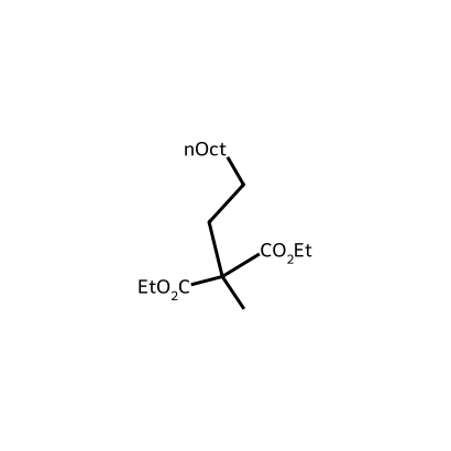 CCCCCCCCCCC(C)(C(=O)OCC)C(=O)OCC